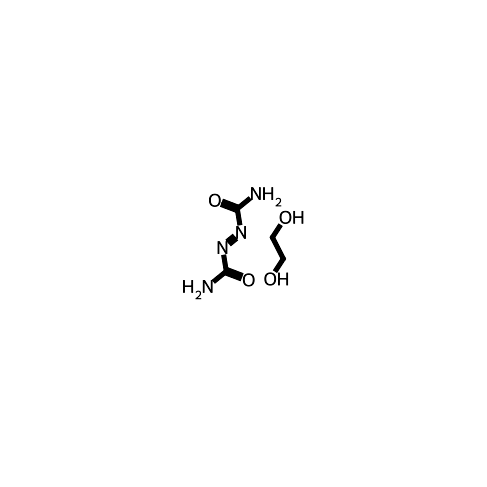 NC(=O)/N=N/C(N)=O.OCCO